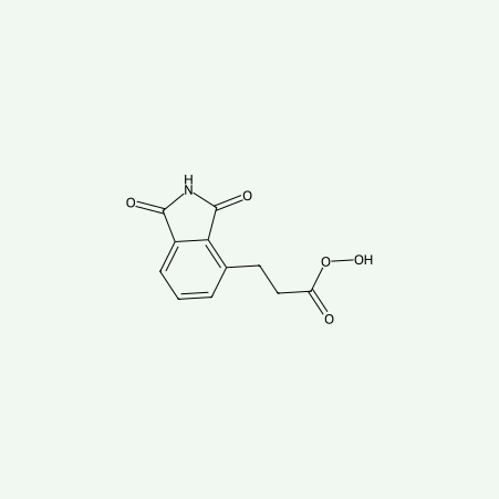 O=C(CCc1cccc2c1C(=O)NC2=O)OO